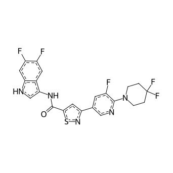 O=C(Nc1c[nH]c2cc(F)c(F)cc12)c1cc(-c2cnc(N3CCC(F)(F)CC3)c(F)c2)ns1